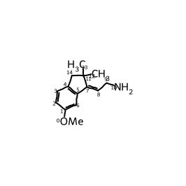 COc1ccc2c(c1)/C(=C/CN)C(C)(C)C2